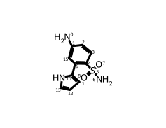 Nc1ccc(S(N)(=O)=O)c(-c2ccc[nH]2)c1